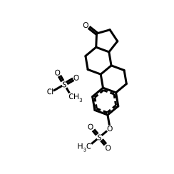 CS(=O)(=O)Cl.CS(=O)(=O)Oc1ccc2c(c1)CCC1C2CCC2C(=O)CCC21